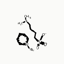 CCCC[n+]1ccccc1.CN(C)CCCCS(=O)(=O)[O-]